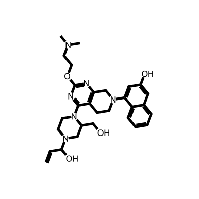 C=CC(O)N1CCN(c2nc(OCCN(C)C)nc3c2CCN(c2cc(O)cc4ccccc24)C3)C(CO)C1